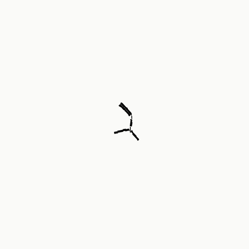 C=II(C)C